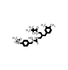 Cc1ccc(CC(CNC(=S)N(O)Cc2ccc(NS(C)(=O)=O)cc2)COC(=O)C(C)(C)C)cc1C